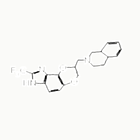 FC(F)(F)c1nc2c3c(ccc2[nH]1)OCC(CN1CCC2C=CC=CC2C1)O3